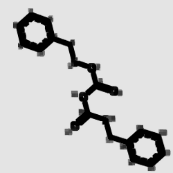 O=C(OSCc1ccccc1)OC(=O)SCc1ccccc1